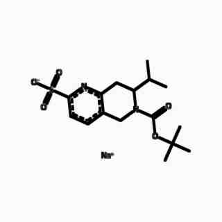 CC(C)C1Cc2nc(S(=O)(=O)[O-])ccc2CN1C(=O)OC(C)(C)C.[Na+]